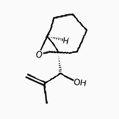 C=C(C)C(O)[C@@]12CCCC[C@@H]1O2